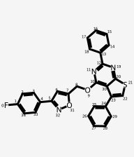 Fc1ccc(-c2cc(COc3nc(-c4ccccc4)nc4scc(-c5ccccc5)c34)on2)cc1